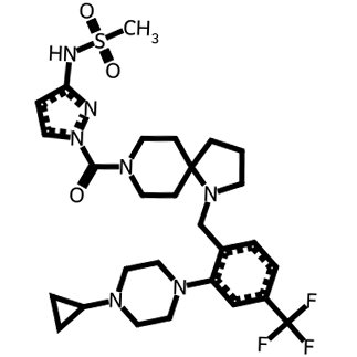 CS(=O)(=O)Nc1ccn(C(=O)N2CCC3(CCCN3Cc3ccc(C(F)(F)F)cc3N3CCN(C4CC4)CC3)CC2)n1